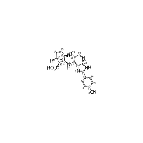 N#Cc1ccc(-c2nc3c(N[C@H]4[C@@H](C(=O)O)[C@@H]5C=C[C@H]4C5)c(Cl)cnc3[nH]2)cc1